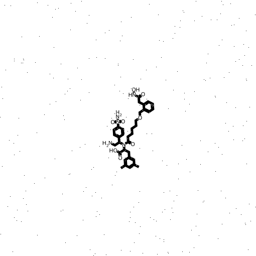 Cc1cc(C)cc(CC(C(=O)O)N(C(=O)CCCCCOCc2ccccc2CC(=O)NO)C(CN)c2ccc(S(N)(=O)=O)cc2)c1